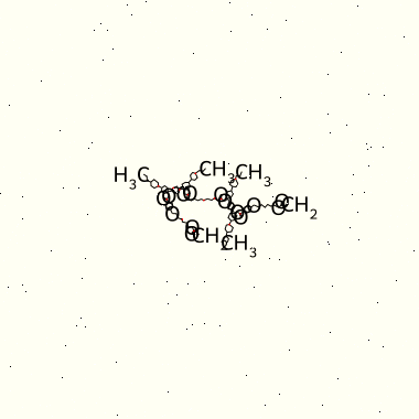 C=CC(=O)OCCCCCCOc1ccc(C(=O)OC2(c3ccc(C4(OC(=O)CCCCCCCCCCC(=O)OC5(c6ccc(C7(OC(=O)c8ccc(OCCCCCCOC(=O)C=C)cc8)CCC(C8CCC(CCC)CC8)CC7)cc6)CCC(C6CCC(CCC)CC6)CC5)CCC(C5CCC(CCC)CC5)CC4)cc3)CCC(C3CCC(CCC)CC3)CC2)cc1